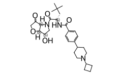 CC(C)(C)C[C@H](NC(=O)c1ccc(C2CCN(C3CCC3)CC2)cc1)C(=O)N1C[C@H](O)[C@H]2OCC(=O)[C@H]21